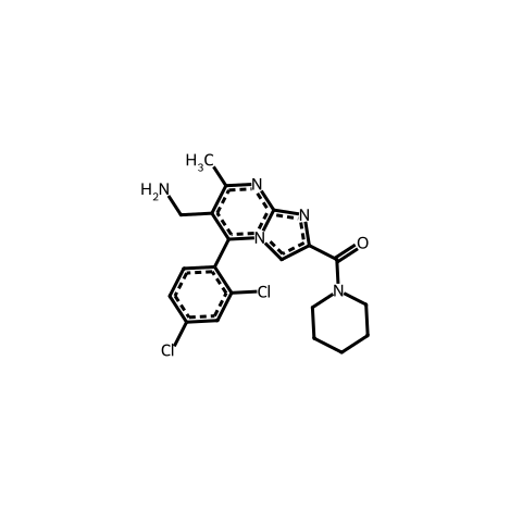 Cc1nc2nc(C(=O)N3CCCCC3)cn2c(-c2ccc(Cl)cc2Cl)c1CN